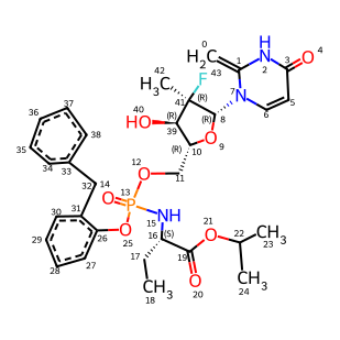 C=C1NC(=O)C=CN1[C@@H]1O[C@H](COP(=O)(N[C@@H](CC)C(=O)OC(C)C)Oc2ccccc2Cc2ccccc2)[C@@H](O)[C@@]1(C)F